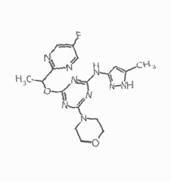 Cc1cc(Nc2nc(OC(C)c3ncc(F)cn3)nc(N3CCOCC3)n2)n[nH]1